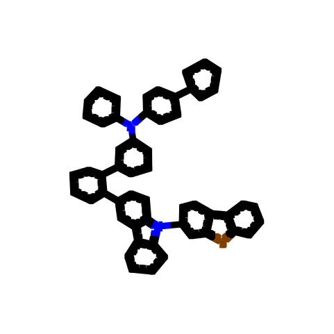 c1ccc(-c2ccc(N(c3ccccc3)c3cccc(-c4ccccc4-c4ccc5c(c4)c4ccccc4n5-c4ccc5c(c4)sc4ccccc45)c3)cc2)cc1